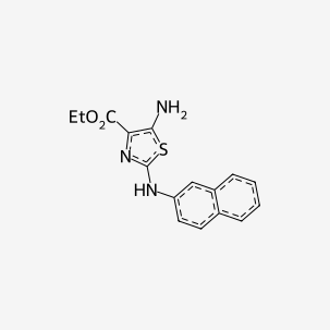 CCOC(=O)c1nc(Nc2ccc3ccccc3c2)sc1N